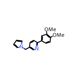 COc1ccc(-c2ccc(Cn3cccc3)cn2)cc1OC